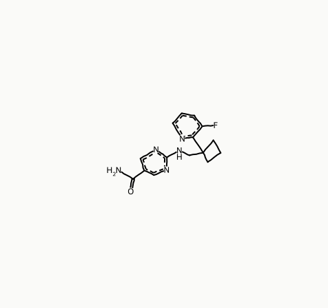 NC(=O)c1cnc(NCC2(c3ncccc3F)CCC2)nc1